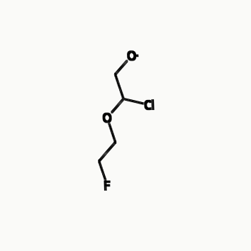 [O]CC(Cl)OCCF